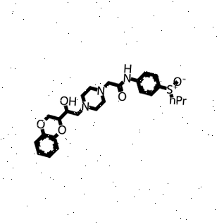 CCC[S+]([O-])c1ccc(NC(=O)CN2CCN(CC(O)C3COc4ccccc4O3)CC2)cc1